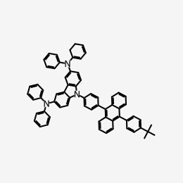 CC(C)(C)c1ccc(-c2c3ccccc3c(-c3ccc(-n4c5ccc(N(C6=CC=CCC6)c6ccccc6)cc5c5cc(N(c6ccccc6)c6ccccc6)ccc54)cc3)c3ccccc23)cc1